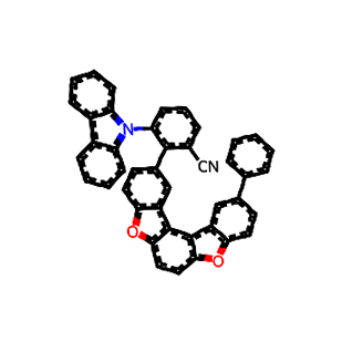 N#Cc1cccc(-n2c3ccccc3c3ccccc32)c1-c1ccc2oc3ccc4oc5ccc(-c6ccccc6)cc5c4c3c2c1